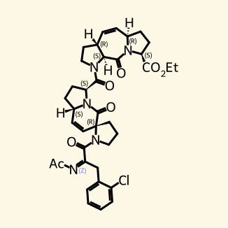 CCOC(=O)[C@@H]1CC[C@@H]2C=C[C@H]3CCN(C(=O)[C@@H]4CC[C@H]5C=C[C@]6(CCCN6C(=O)/C(Cc6ccccc6Cl)=N\C(C)=O)C(=O)N54)[C@@H]3C(=O)N21